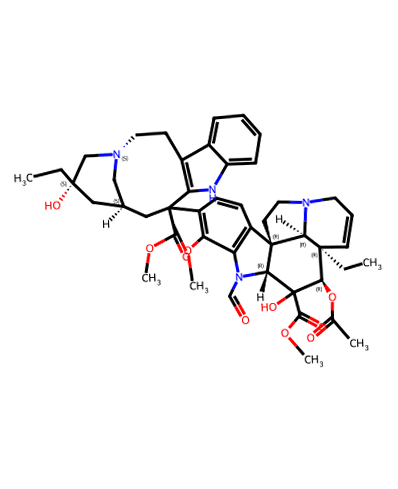 CC[C@]1(O)C[C@H]2C[N@@](CCc3c([nH]c4ccccc34)C(C(=O)OC)(c3ccc4c(c3OC)N(C=O)[C@H]3C(O)(C(=O)OC)[C@H](OC(C)=O)[C@]5(CC)C=CCN6CC[C@]43[C@@H]65)C2)C1